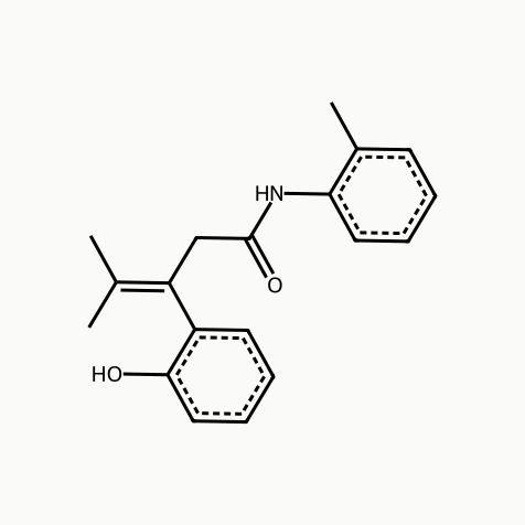 CC(C)=C(CC(=O)Nc1ccccc1C)c1ccccc1O